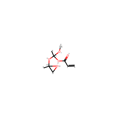 C=CC(=O)OC(C)(OCC)OC1(C)CO1